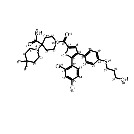 NC(=O)C1(N2CCC(F)(F)CC2)CCN(C(=O)c2cc(-c3ccc(SCCCO)cc3)c(-c3ccc(Cl)cc3Cl)s2)CC1